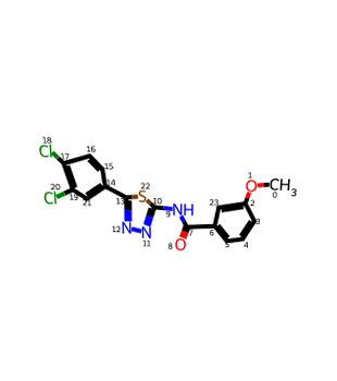 COc1cccc(C(=O)Nc2nnc(-c3ccc(Cl)c(Cl)c3)s2)c1